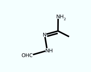 C/C(N)=N\NC=O